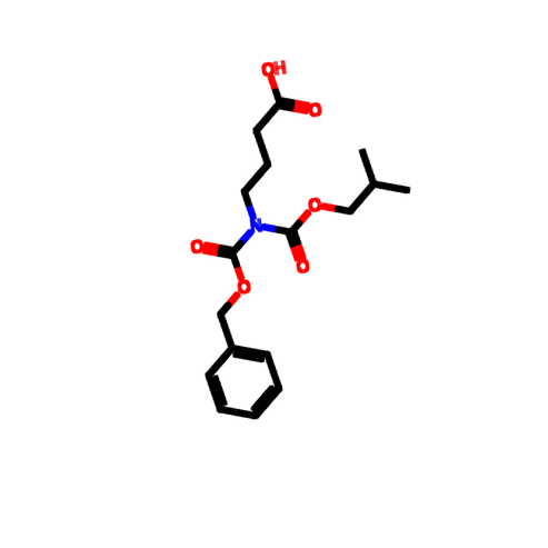 CC(C)COC(=O)N(CCCC(=O)O)C(=O)OCc1ccccc1